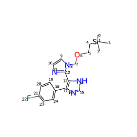 C[Si](C)(C)CCOCn1ccnc1-c1[nH]cnc1-c1ccc(F)cc1